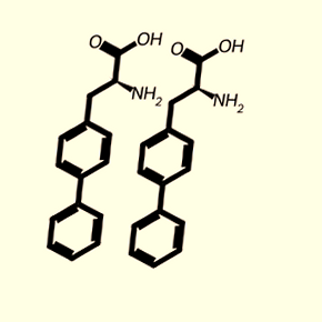 N[C@@H](Cc1ccc(-c2ccccc2)cc1)C(=O)O.N[C@@H](Cc1ccc(-c2ccccc2)cc1)C(=O)O